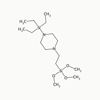 CC[Si](CC)(CC)N1CCN(CC[Si](OC)(OC)OC)CC1